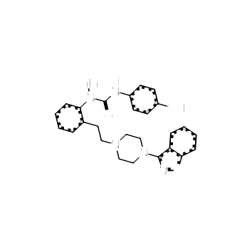 Cc1ccc(NC(=O)N(c2ccccc2CCN2CCN(c3nsc4ccccc34)CC2)C(C)C)cc1